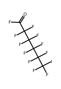 O=C(F)C(F)(F)C(F)(F)C(F)(F)C(F)(F)C(F)(F)I